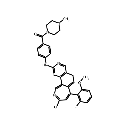 COc1cccc(F)c1C1=CC(Cl)=NC=C2C1=CCc1cnc(Nc3ccc(C(=O)N4CCN(C)CC4)cc3)nc12